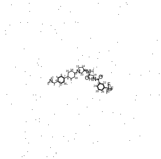 CN(C)Cc1ccc(C2CCC(N3CC[C@@H](NC(=O)CNC(=O)c4cccc(C(F)(F)F)c4)C3)CC2)cc1